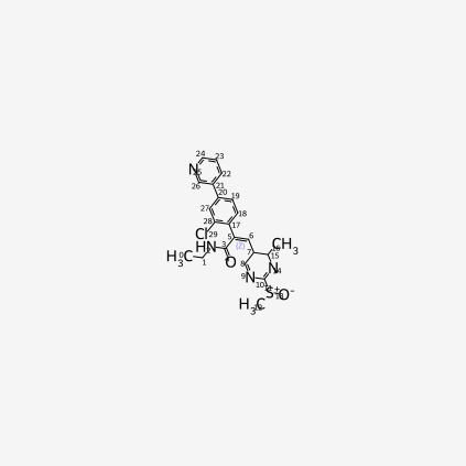 CCNC(=O)/C(=C\C1C=NC([S+](C)[O-])=NC1C)c1ccc(-c2cccnc2)cc1Cl